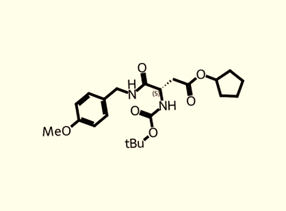 COc1ccc(CNC(=O)[C@H](CC(=O)OC2CCCC2)NC(=O)OC(C)(C)C)cc1